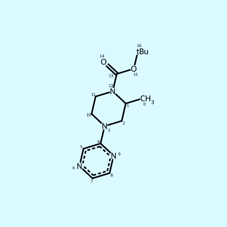 CC1CN(c2cnccn2)CCN1C(=O)OC(C)(C)C